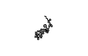 CCCCCC(=O)OCC(C)(C)C(=O)SCCOP(=O)(NCc1ccccc1)OCC1O[C@@H](n2cnc3c(=O)[nH]c(N)nc32)[C@](C)(O)[C@@H]1O